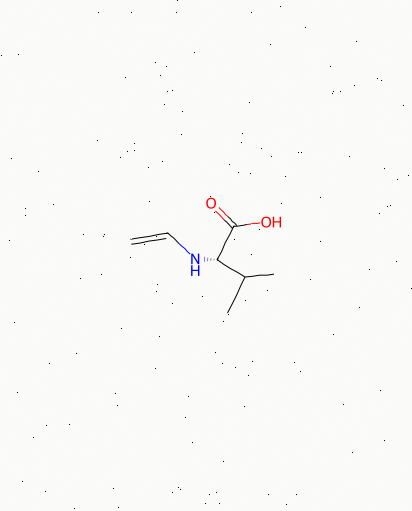 C=CN[C@H](C(=O)O)C(C)C